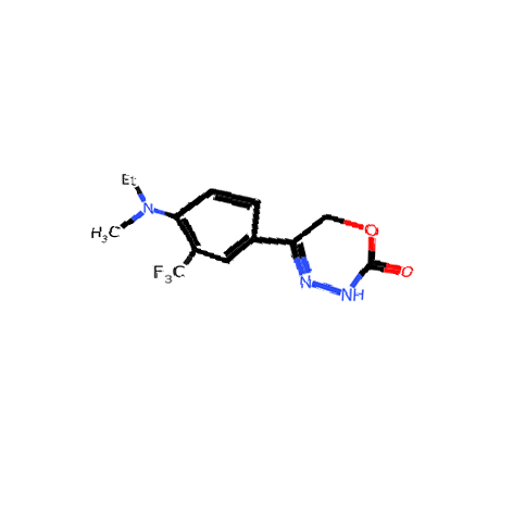 CCN(C)c1ccc(C2=NNC(=O)OC2)cc1C(F)(F)F